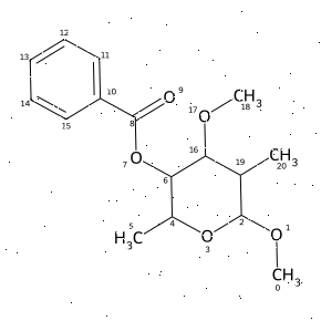 COC1OC(C)C(OC(=O)c2ccccc2)C(OC)C1C